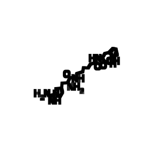 N=C(N)N1CC=C(CC(N)C(=O)NCCCCCC(=O)NC(Cc2ccc[nH]2)C(=O)O)C1